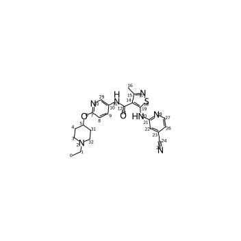 CCN1CCC(Oc2ccc(NC(=O)c3c(C)nsc3Nc3cc(C#N)ccn3)cn2)CC1